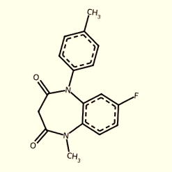 Cc1ccc(N2C(=O)CC(=O)N(C)c3ccc(F)cc32)cc1